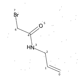 C=CCNC(=O)CBr